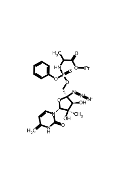 C=C1C=CN([C@@H]2O[C@@](COP(=S)(NC(C)C(=O)OC(C)C)Oc3ccccc3)(N=[N+]=[N-])[C@@H](O)[C@@]2(C)O)C(=O)N1